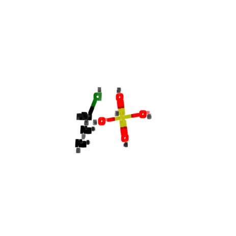 CCCCCl.O=S(=O)([O-])[O-].[Na+].[Na+]